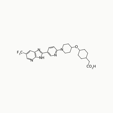 O=C(O)CC1CCC(OC2CCN(c3ccc(-c4nc5cc(C(F)(F)F)cnc5[nH]4)cn3)CC2)CC1